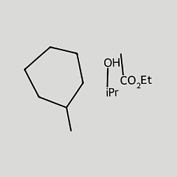 CC(C)O.CC1CCCCC1.CCOC(C)=O